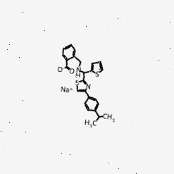 CC(C)c1ccc(-c2csc(C(NCc3ccccc3C(=O)[O-])c3cccs3)n2)cc1.[Na+]